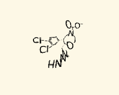 N=[N+]=NC[C@H]1OCCN(C(=O)[O-])C[C@H]1c1ccc(Cl)c(Cl)c1